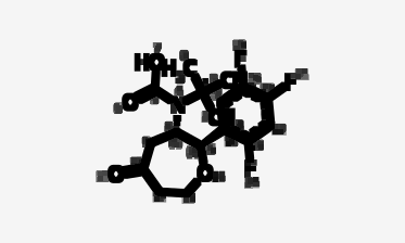 CC(C)(C)N(C(=O)O)[C@H]1CC(=O)CCO[C@@H]1c1cc(F)c(F)cc1F